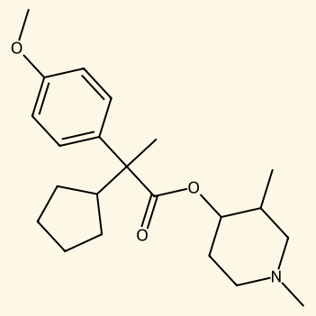 COc1ccc(C(C)(C(=O)OC2CCN(C)CC2C)C2CCCC2)cc1